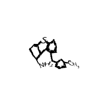 Cc1cccc(Cc2cccc3c2C2C(=CC=CC2N)S3)c1